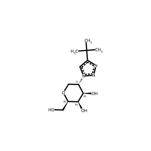 CC(C)(C)c1cn([C@H]2CO[C@H](CO)[C@H](O)[C@@H]2O)nn1